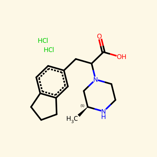 C[C@H]1CN(C(Cc2ccc3c(c2)CCC3)C(=O)O)CCN1.Cl.Cl